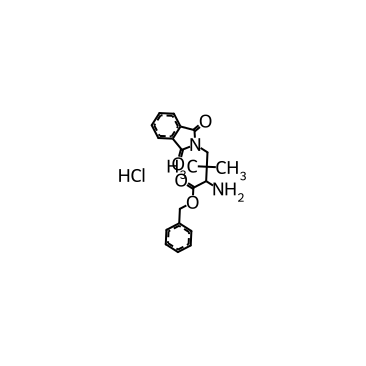 CC(C)(CN1C(=O)c2ccccc2C1=O)C(N)C(=O)OCc1ccccc1.Cl